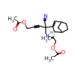 C=C(COC(C)=O)[C@@H]1C(C(C#N)(C#N)C#CCOC(C)=O)=CC2CCC1C2